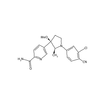 CO[C@@]1(c2ccc(C(N)=O)nc2)CCN(c2ccc(C#N)c(Cl)c2)[C@H]1C